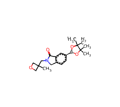 CC1(CN2Cc3ccc(B4OC(C)(C)C(C)(C)O4)cc3C2=O)COC1